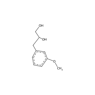 COc1cccc(CC(O)CO)c1